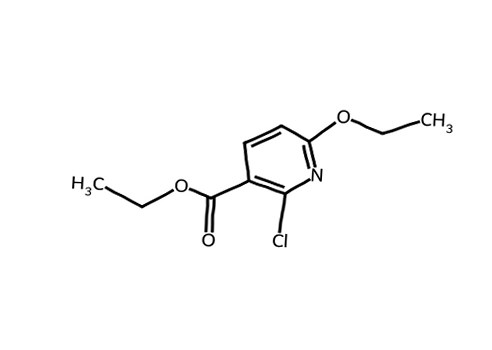 CCOC(=O)c1ccc(OCC)nc1Cl